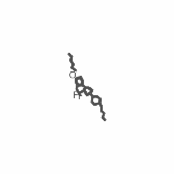 CCCCCCOc1ccc2c(c1)CC(F)(F)c1cc(C3CCC(CCCCC)CC3)ccc1-2